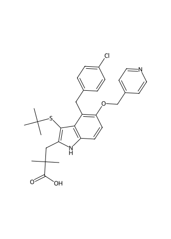 CC(C)(C)Sc1c(CC(C)(C)C(=O)O)[nH]c2ccc(OCc3ccncc3)c(Cc3ccc(Cl)cc3)c12